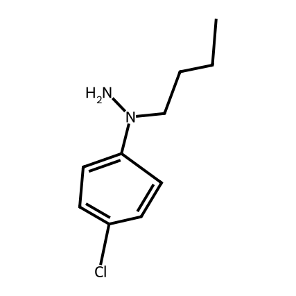 CCCCN(N)c1ccc(Cl)cc1